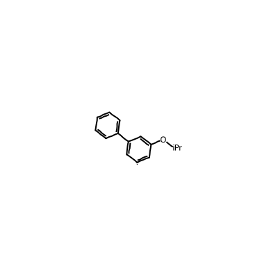 CC(C)Oc1c[c]cc(-c2ccccc2)c1